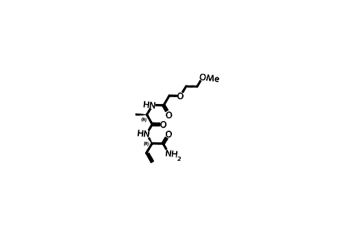 C=C[C@@H](NC(=O)[C@@H](C)NC(=O)COCCOC)C(N)=O